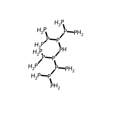 PP(P)P(P)P(PP(P(P)P)P(P)P)P(P)P